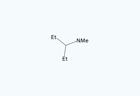 [CH2-][NH2+]C(CC)CC